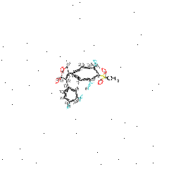 CS(=O)(=O)c1c(F)cc(C2=C(c3ccc(F)c(F)c3)C(=O)OC2)cc1F